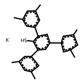 Cc1cc(C)cc(-c2cc(-c3cc(C)cc(C)c3)c(S)c(-c3cc(C)cc(C)c3)c2)c1.[K]